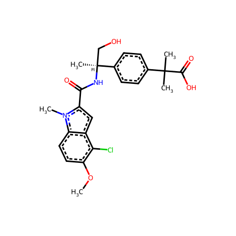 COc1ccc2c(cc(C(=O)N[C@@](C)(CO)c3ccc(C(C)(C)C(=O)O)cc3)n2C)c1Cl